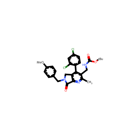 COc1ccc(CN2Cc3c(nc(C)c(CNC(=O)OC(C)(C)C)c3-c3ccc(Cl)cc3Cl)C2=O)cc1